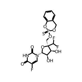 O=c1[nH]c(=O)n([C@@H]2O[C@@](COP3(=S)OCc4ccccc4O3)(C(F)F)[C@@H](O)[C@H]2O)cc1F